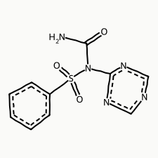 NC(=O)N(c1ncncn1)S(=O)(=O)c1ccccc1